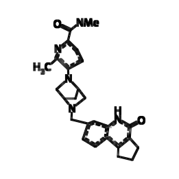 CNC(=O)c1ccc(N2CC3CC2CN3Cc2ccc3c4c(c(=O)[nH]c3c2)CCC4)c(C)n1